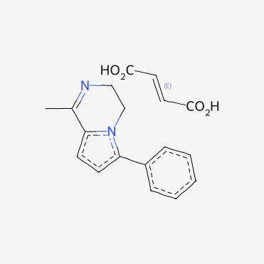 CC1=NCCn2c1ccc2-c1ccccc1.O=C(O)/C=C/C(=O)O